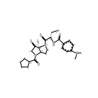 CC(C)C[C@H](NC(=O)c1ccc(N(C)C)cc1)C(=O)N1CCC2[C@H]1C(=O)CN2C(=O)C1CCCC1